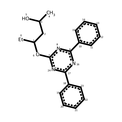 CCC(CC(C)O)Oc1nc(-c2ccccc2)nc(-c2ccccc2)n1